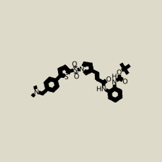 CN(C)Cc1ccc(-c2ccc(S(=O)(=O)n3ccc(C=CC(=O)Nc4ccccc4NC(=O)OC(C)(C)C)c3)s2)cc1